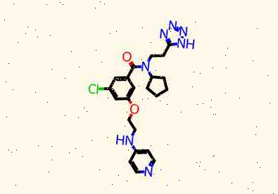 O=C(c1cc(Cl)cc(OCCNc2ccncc2)c1)N(CCc1nnn[nH]1)C1CCCC1